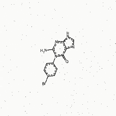 Nc1nc2[nH]cnc2c(=O)n1-c1ccc(Br)cc1